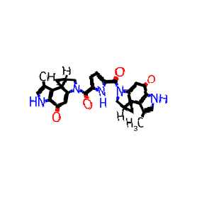 Cc1c[nH]c2c1C13C[C@@H]1CN(C(=O)c1ccc(C(=O)N4C[C@H]5CC56C4=CC(=O)c4[nH]cc(C)c46)[nH]1)C3=CC2=O